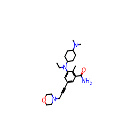 CCN(c1cc(C#CCN2CCOCC2)cc(C(N)=O)c1C)C1CCC(N(C)C)CC1